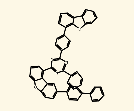 c1ccc(-c2ccc(-c3ccc4oc5cccc(-c6nc(-c7ccccc7)nc(-c7ccc(-c8cccc9c8oc8ccccc89)cc7)n6)c5c4c3)cc2)cc1